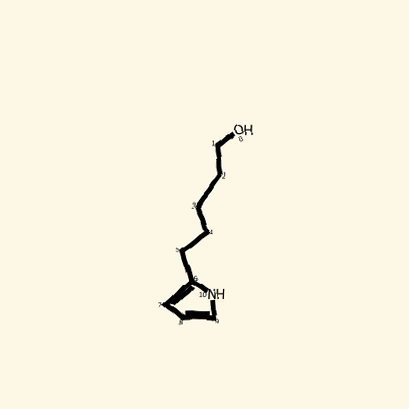 OCCCCCc1ccc[nH]1